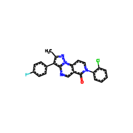 Cc1nn2c(ncc3c(=O)n(-c4ccccc4Cl)ccc32)c1-c1ccc(F)cc1